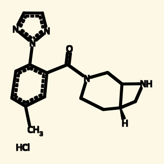 Cc1ccc(-n2nccn2)c(C(=O)N2CC[C@H]3CNC3C2)c1.Cl